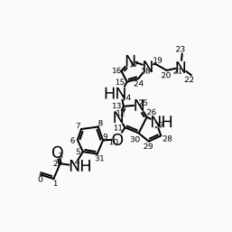 C=CC(=O)Nc1cccc(Oc2nc(Nc3cnn(CCN(C)C)c3)nc3[nH]ccc23)c1